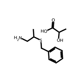 CC(CN)SCc1ccccc1.CC(O)C(=O)O